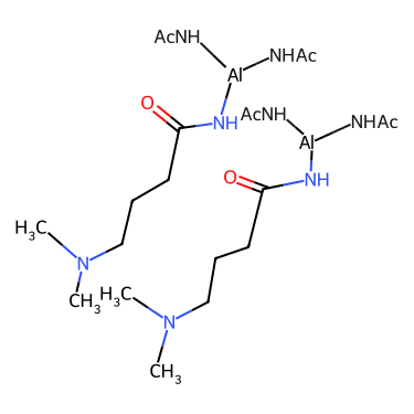 CC(=O)[NH][Al]([NH]C(C)=O)[NH]C(=O)CCCN(C)C.CC(=O)[NH][Al]([NH]C(C)=O)[NH]C(=O)CCCN(C)C